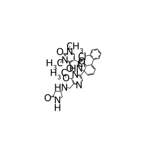 COc1nc(C2(NC(=O)c3cn(C)c(=O)n(C)c3=O)C=CC=C(c3ccccc3Cl)[C@@H]2Cl)cnc1CNC1CNC(=O)C1